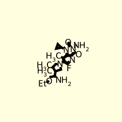 CCOCC(N)C1CN(c2c(F)nc3c(=O)n(N)c(=O)n(C4CC4)c3c2C)CC1(C)C